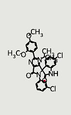 COc1ccc(-c2nc3c(n2C(C)C)[C@]2(C(=O)Nc4cc(Cl)ccc42)N(c2cccc(Cl)c2)C3=O)c(OC)c1